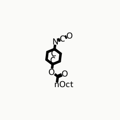 CCCCCCCCC(=O)OC12CCC(N=C=O)(CC1)CC2